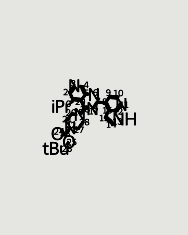 CC(C)c1cncc2nc(-c3ccnc4[nH]ccc34)nc(N3CCN(C(=O)OC(C)(C)C)CC3)c12